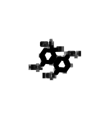 O=C(O)C1=CCC(S)(C(=O)O)C=C1.O=C(O)c1ccc(C(=O)O)cc1